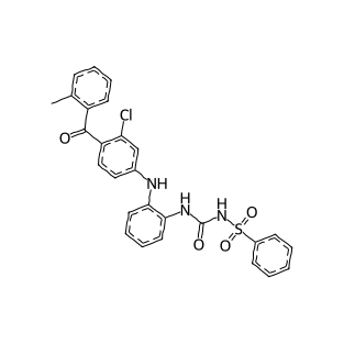 Cc1ccccc1C(=O)c1ccc(Nc2ccccc2NC(=O)NS(=O)(=O)c2ccccc2)cc1Cl